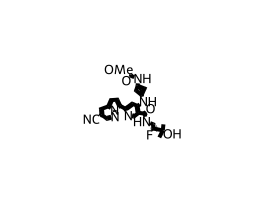 COC(=O)NC12CC(Nc3cc(-c4ccc5cc(C#N)cnn45)ncc3C(=O)NC[C@@H](F)C(C)(C)O)(C1)C2